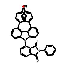 N#Cc1ccc(-c2cccc3c2c2c(-c4ccc(C#N)cc4)cccc2n3-c2cccc3c2C(=O)N(c2ccccc2)C3=O)cc1